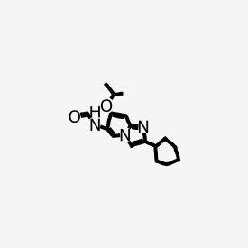 CC(C)Oc1cc2nc(C3CCCCC3)cn2cc1NC=O